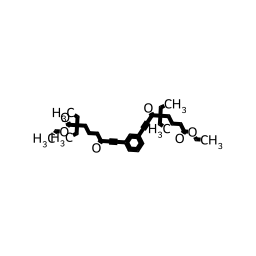 CCOC(=O)CCCC(CC)(CC)C(=O)C#Cc1cccc(C#CC(=O)CCCC(CC)(CC)C(=O)OCC)c1